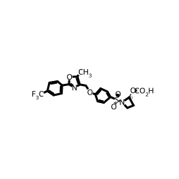 Cc1oc(-c2ccc(C(F)(F)F)cc2)nc1COc1ccc(S(=O)(=O)N2CC[C@H]2OC(=O)O)cc1